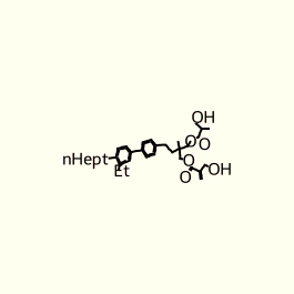 C=C(CO)C(=O)OCC(C)(CCc1ccc(-c2ccc(CCCCCCC)c(CC)c2)cc1)COC(=O)C(C)CO